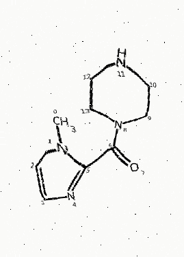 Cn1ccnc1C(=O)N1CCNCC1